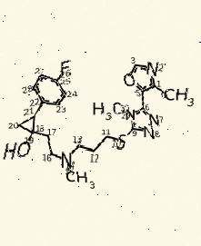 Cc1ncoc1-c1nnc(SCCCN(C)CC[C@]2(O)C[C@H]2c2ccc(F)cc2)n1C